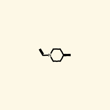 C=CN1CCC(=C)CC1